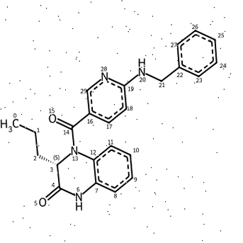 CCC[C@H]1C(=O)Nc2ccccc2N1C(=O)c1ccc(NCc2ccccc2)nc1